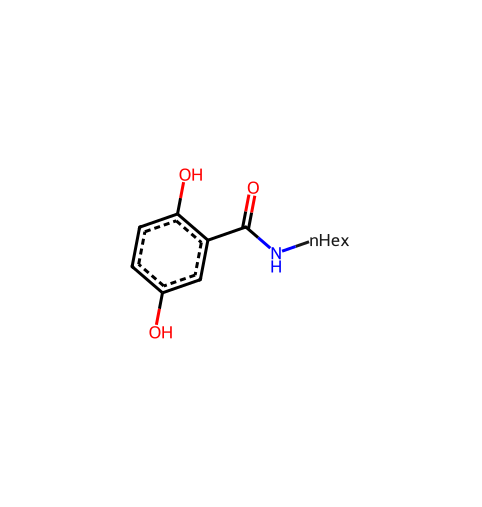 CCCCCCNC(=O)c1cc(O)ccc1O